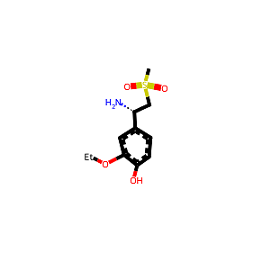 CCOc1cc([C@H](N)CS(C)(=O)=O)ccc1O